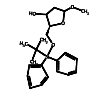 COC1CC(O)[C@H](CO[Si](c2ccccc2)(c2ccccc2)C(C)(C)C)O1